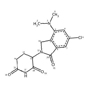 CN(C)c1cc(Cl)cc2c1CN(C1CCC(=O)NC1=O)C2=O